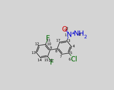 N[N+](=O)c1[c]c(Cl)cc(-c2c(F)cccc2F)c1